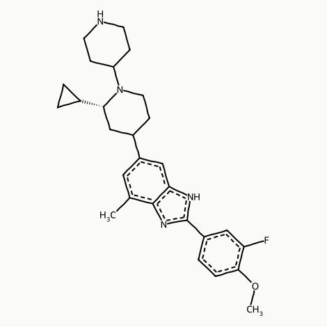 COc1ccc(-c2nc3c(C)cc(C4CCN(C5CCNCC5)[C@@H](C5CC5)C4)cc3[nH]2)cc1F